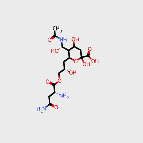 CC(=O)N[C@@H](O)C1C(O)CC(O)(C(=O)O)OC1C[C@H](O)COC(=O)[C@H](N)CC(N)=O